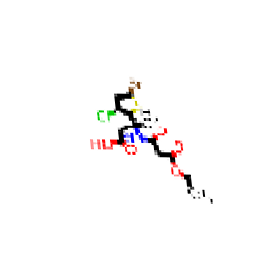 CCOC(=O)CC(=O)NC(C)(CC(=O)O)c1sc(Br)cc1Cl